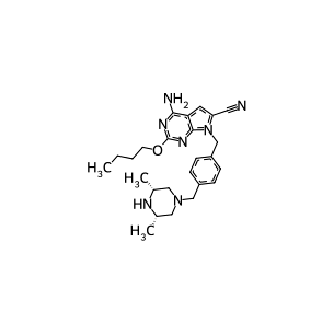 CCCCOc1nc(N)c2cc(C#N)n(Cc3ccc(CN4C[C@@H](C)N[C@@H](C)C4)cc3)c2n1